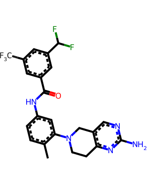 Cc1ccc(NC(=O)c2cc(C(F)F)cc(C(F)(F)F)c2)cc1N1CCc2nc(N)ncc2C1